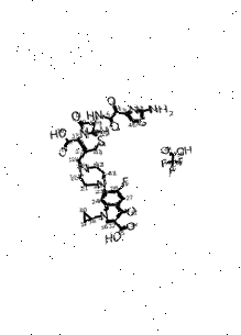 Nc1nc(C(=O)C(=O)N[C@H]2C(=O)N3C(C(=O)O)=C(CN4CCN(c5cc6c(cc5F)c(=O)c(C(=O)O)cn6C5CC5)CC4)CS[C@@H]23)cs1.O=C(O)C(F)(F)F